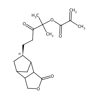 C=C(C)C(=O)OC(C)(C)C(=O)CC[C@@H]1CC2CC1C1C(=O)OCC21